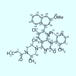 C=CC(=O)N1CC(C)N(c2nc(=O)n(-c3c(C)ccnc3C(C)C)c3nc(-c4cc(OC)cc5ccccc45)c(Cl)cc23)CC1C